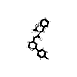 Cc1ccc(C2CC(CC(=O)N(Cc3ccccc3)C(=O)O)CCO2)cc1